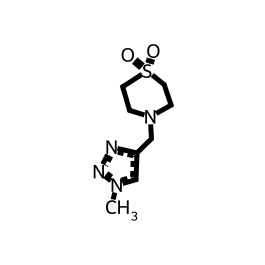 Cn1cc(CN2CCS(=O)(=O)CC2)nn1